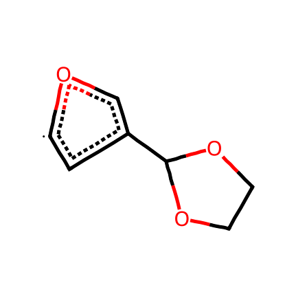 [c]1cc(C2OCCO2)co1